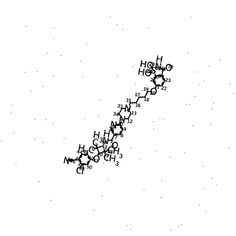 CC1(C)C(NC(=O)c2ccc(N3CCN(CCCCCOc4ccc5c(c4)S(O)(O)NC5=O)CC3)nc2)C(C)(C)C1Oc1ccc(C#N)c(Cl)c1